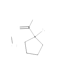 CCl.NC1(C(=O)O)CCCC1